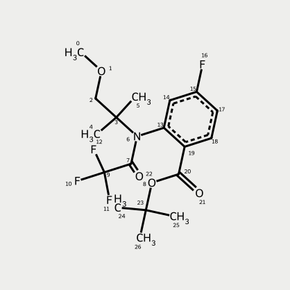 COCC(C)(C)N(C(=O)C(F)(F)F)c1cc(F)ccc1C(=O)OC(C)(C)C